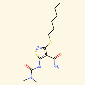 CCCCCCSc1nsc(NC(=O)N(C)C)c1C(N)=O